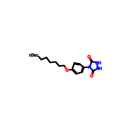 CCCCCCCCCCCCCCCCOc1ccc(-n2c(=O)[nH][nH]c2=O)cc1